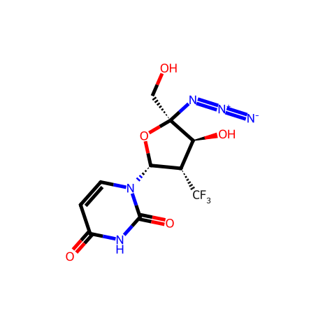 [N-]=[N+]=N[C@]1(CO)O[C@@H](n2ccc(=O)[nH]c2=O)[C@@H](C(F)(F)F)[C@@H]1O